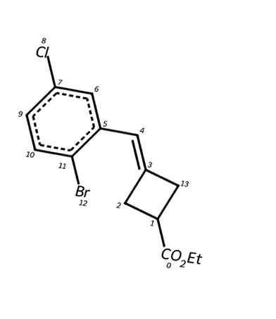 CCOC(=O)C1CC(=Cc2cc(Cl)ccc2Br)C1